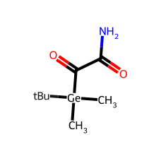 C[C](C)(C)[Ge]([CH3])([CH3])[C](=O)C(N)=O